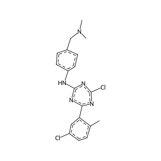 Cc1ccc(Cl)cc1-c1nc(Cl)nc(Nc2ccc(CN(C)C)cc2)n1